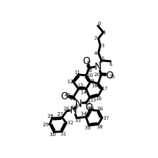 CCCCCC(C)N1C(=O)c2ccc3c4c(ccc(c24)C1=O)C(=O)N(N(Cc1ccccc1)Cc1ccccc1)C3=O